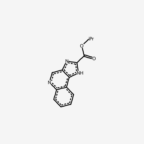 CC(C)OC(=O)c1nc2cnc3ccccc3c2[nH]1